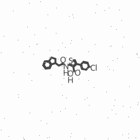 O=C(CC1CCc2ccccc21)Nc1scc(C2=CCC(Cl)C=C2)c1C(=O)O